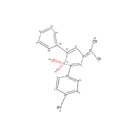 CC(C)c1ccc(C2=CC(=C(C#N)C#N)C=C(c3ccccc3)S2(=O)=O)cc1